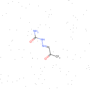 NC(=O)NN=CC(=O)C(F)(F)F